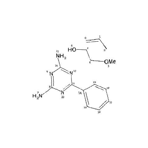 C=CC.COCCO.Nc1nc(N)nc(-c2ccccc2)n1